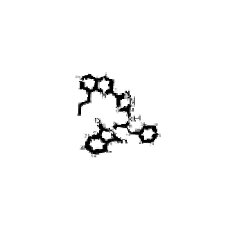 CCCc1cncc2ccc(-c3nnc(N[C@@H](Cc4ccccc4)CN4C(=O)c5ccccc5C4=O)s3)nc12